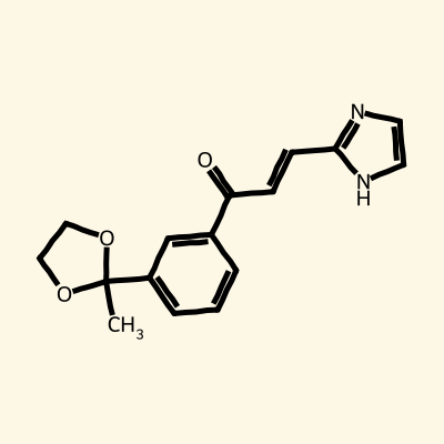 CC1(c2cccc(C(=O)/C=C/c3ncc[nH]3)c2)OCCO1